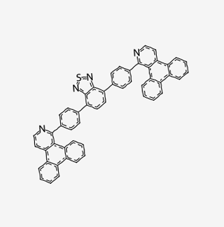 c1ccc2c(c1)c1ccccc1c1c(-c3ccc(-c4ccc(-c5ccc(-c6nccc7c8ccccc8c8ccccc8c67)cc5)c5nsnc45)cc3)nccc21